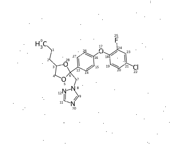 CCCC1COC(Cn2cncn2)(c2ccc(Oc3ccc(Cl)cc3F)cc2)O1